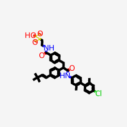 Cc1cc(Cl)ccc1-c1ccc(NC(=O)C(Cc2ccc(C(=O)NCCS(=O)(=O)O)cc2)c2ccc(/C=C/C(C)(C)C)cc2)cc1C